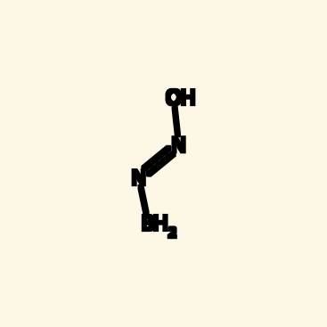 BN=NO